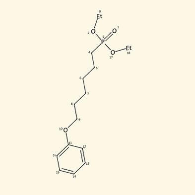 CCOP(=O)(CCCCCCOc1[c]cccc1)OCC